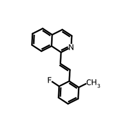 Cc1cccc(F)c1C=Cc1nccc2ccccc12